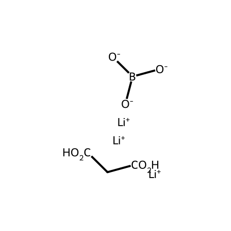 O=C(O)CC(=O)O.[Li+].[Li+].[Li+].[O-]B([O-])[O-]